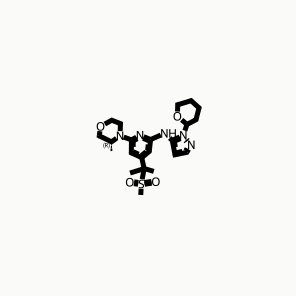 C[C@@H]1COCCN1c1cc(C(C)(C)S(C)(=O)=O)cc(Nc2ccnn2C2CCCCO2)n1